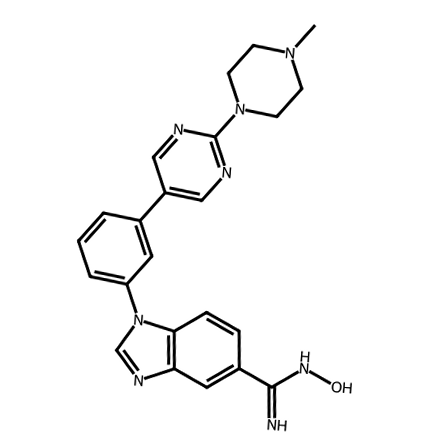 CN1CCN(c2ncc(-c3cccc(-n4cnc5cc(C(=N)NO)ccc54)c3)cn2)CC1